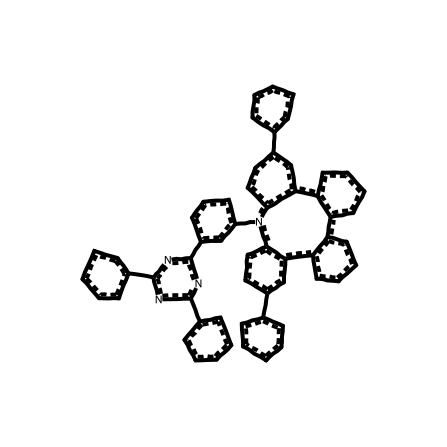 c1ccc(-c2ccc3c(c2)c2ccccc2c2ccccc2c2cc(-c4ccccc4)ccc2n3-c2cccc(-c3nc(-c4ccccc4)nc(-c4ccccc4)n3)c2)cc1